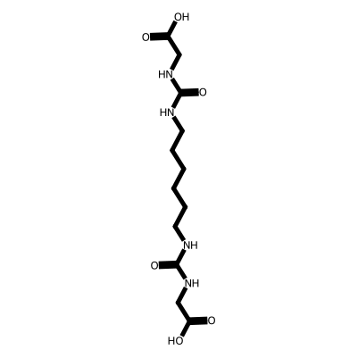 O=C(O)CNC(=O)NCCCCCCNC(=O)NCC(=O)O